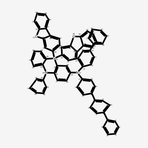 c1ccc(-c2ccc(-c3ccc(N(c4ccc(-c5ccccc5)cc4)c4ccc5c(c4)[Si](c4ccc6c(c4)oc4ccccc46)(c4ccc6c(c4)oc4ccccc46)c4ccccc4N5c4ccccc4)cc3)cc2)cc1